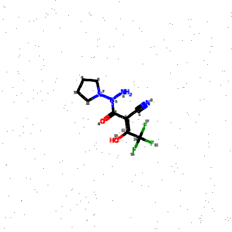 N#C/C(C(=O)N(N)N1CCCC1)=C(/O)C(F)(F)F